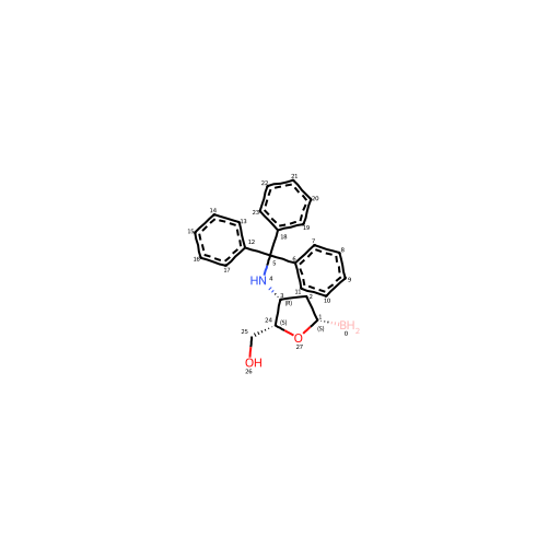 B[C@H]1C[C@@H](NC(c2ccccc2)(c2ccccc2)c2ccccc2)[C@@H](CO)O1